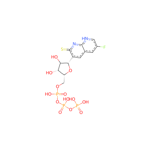 O=P(O)(O)OP(=O)(O)OP(=O)(O)OC[C@H]1O[C@@H](c2cc3cc(F)c[nH]c-3nc2=S)C(O)[C@H]1O